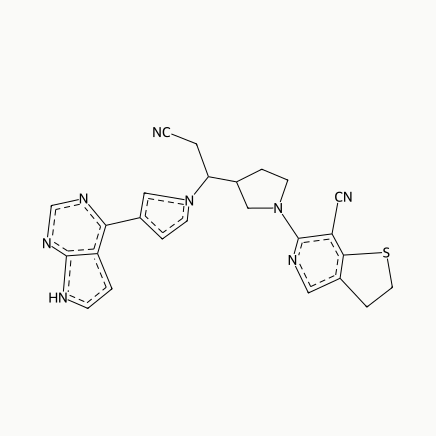 N#CCC(C1CCN(c2ncc3c(c2C#N)SCC3)C1)n1ccc(-c2ncnc3[nH]ccc23)c1